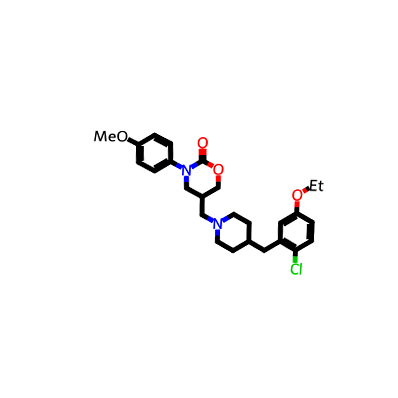 CCOc1ccc(Cl)c(CC2CCN(CC3COC(=O)N(c4ccc(OC)cc4)C3)CC2)c1